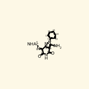 CC(=O)N/N=C1/C(=O)NC(=O)c2c1nn(-c1ccccc1)c2N